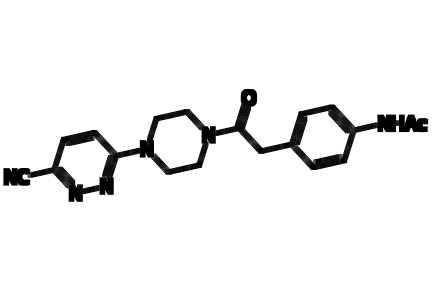 CC(=O)Nc1ccc(CC(=O)N2CCN(c3ccc(C#N)nn3)CC2)cc1